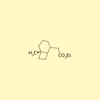 CCOC(=O)CC1CCC[C@@]2(C)CCC12